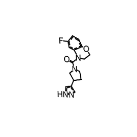 O=C(N1CCC(c2cn[nH]c2)C1)N1CCOc2ccc(F)cc21